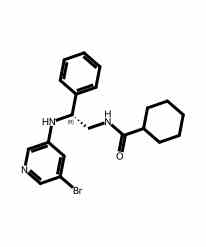 O=C(NC[C@H](Nc1cncc(Br)c1)c1ccccc1)C1CCCCC1